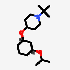 CC(C)O[C@H]1CCC[C@@H](OC2CCN(C(C)(C)C)CC2)C1